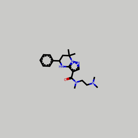 CN(C)CCN(C)C(=O)c1cnn2c1NC(c1ccccc1)CC2(C)C